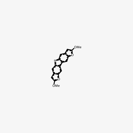 COc1cc2cc3sc4cc5cc(OC)oc5cc4c3cc2o1